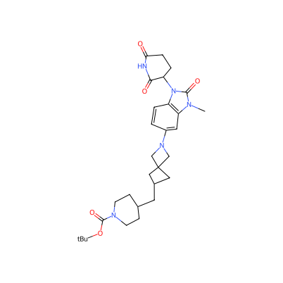 Cn1c(=O)n(C2CCC(=O)NC2=O)c2ccc(N3CC4(CC(CC5CCN(C(=O)OC(C)(C)C)CC5)C4)C3)cc21